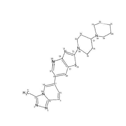 Cc1nnc2ccc(-c3cnc4nc(N5CCC(N6CCCCC6)CC5)sc4c3)cn12